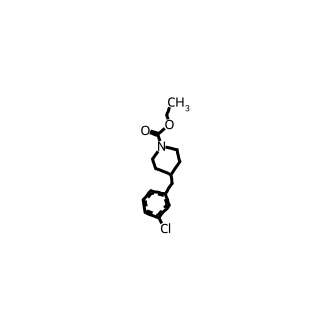 CCOC(=O)N1CCC(Cc2cccc(Cl)c2)CC1